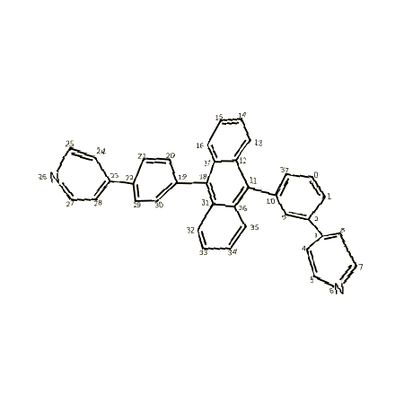 c1cc(-c2ccncc2)cc(-c2c3ccccc3c(-c3ccc(-c4ccncc4)cc3)c3ccccc23)c1